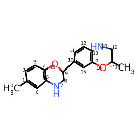 Cc1ccc2c(c1)NCC(c1ccc3c(c1)OC(C)CN3)O2